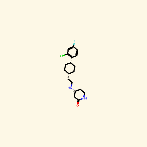 O=C1C[C@H](NCC[C@H]2CC[C@@H](c3ccc(F)cc3Cl)CC2)CCN1